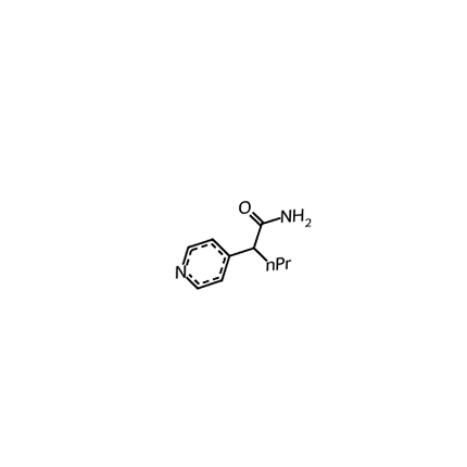 CCCC(C(N)=O)c1ccncc1